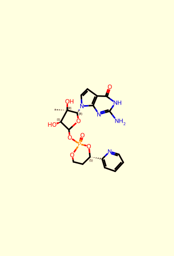 C[C@@]1(O)[C@H](O)C(OP2(=O)OCC[C@@H](c3ccccn3)O2)O[C@H]1n1ccc2c(=O)[nH]c(N)nc21